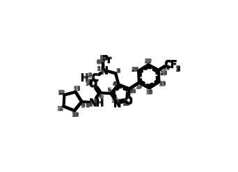 CC(C)N(C)Cc1c(C(=O)NC2CCCC2)noc1-c1ccc(C(F)(F)F)cc1